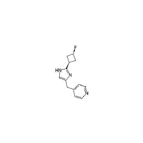 F[C@H]1C[C@@H](c2nc(Cc3ccncc3)c[nH]2)C1